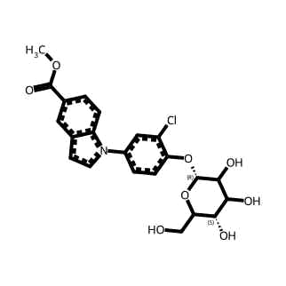 COC(=O)c1ccc2c(ccn2-c2ccc(O[C@H]3OC(CO)[C@@H](O)C(O)C3O)c(Cl)c2)c1